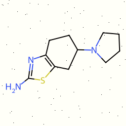 Nc1nc2c(s1)CC(N1CCCC1)CC2